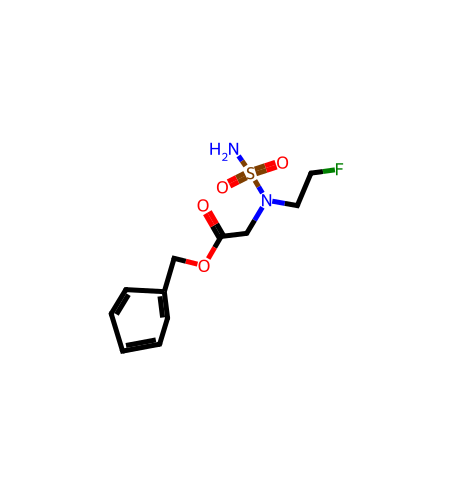 NS(=O)(=O)N(CCF)CC(=O)OCc1ccccc1